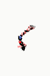 Cc1cc(C)c(C2=C(O)C3(CCC(OC4CCN(CCOCCOCCOCC(=O)OC(C)(C)C)CC4)CC3)OC2=O)c(C)c1